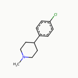 CN1CCC(c2ccc(Cl)cc2)CC1